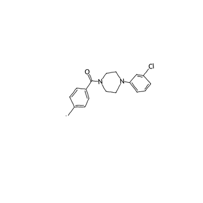 [CH2]c1ccc(C(=O)N2CCN(c3cccc(Cl)c3)CC2)cc1